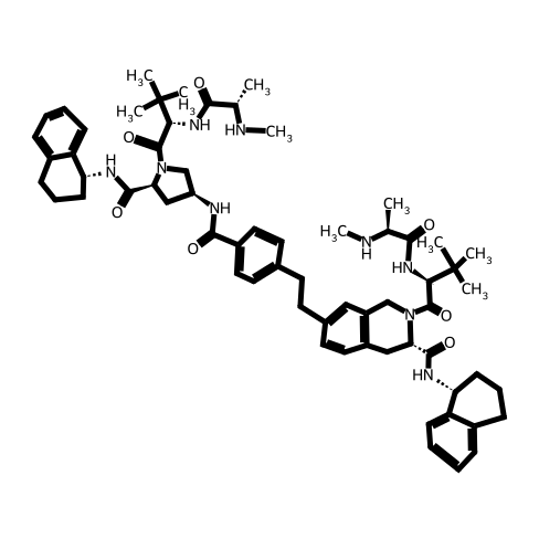 CN[C@@H](C)C(=O)N[C@H](C(=O)N1Cc2cc(CCc3ccc(C(=O)N[C@H]4C[C@@H](C(=O)N[C@@H]5CCCc6ccccc65)N(C(=O)[C@@H](NC(=O)[C@H](C)NC)C(C)(C)C)C4)cc3)ccc2C[C@H]1C(=O)N[C@@H]1CCCc2ccccc21)C(C)(C)C